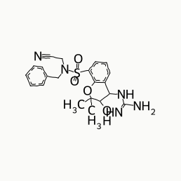 CC1(C)Oc2c(cccc2S(=O)(=O)N(CC#N)Cc2ccccc2)C(NC(=N)N)C1O